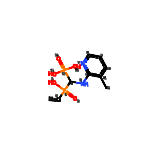 COP(=O)(O)C(Nc1ncccc1C)P(=O)(O)O